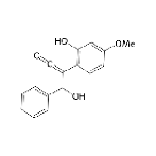 COc1ccc(C(=C=O)C(O)c2ccccc2)c(O)c1